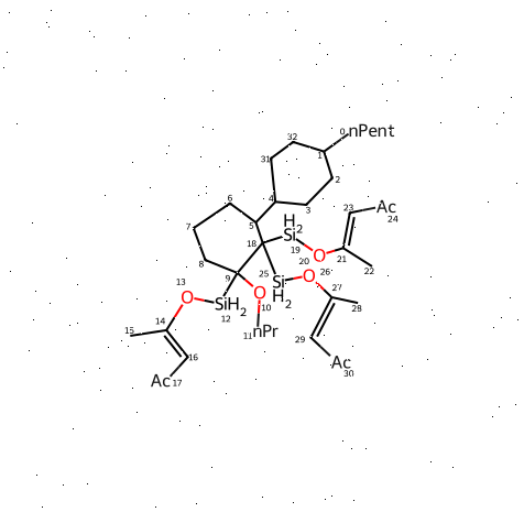 CCCCCC1CCC(C2CCCC(OCCC)([SiH2]OC(C)=CC(C)=O)C2([SiH2]OC(C)=CC(C)=O)[SiH2]OC(C)=CC(C)=O)CC1